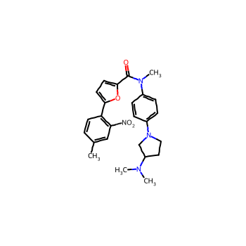 Cc1ccc(-c2ccc(C(=O)N(C)c3ccc(N4CCC(N(C)C)C4)cc3)o2)c([N+](=O)[O-])c1